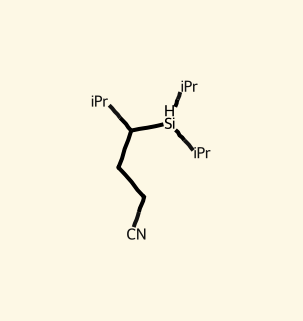 CC(C)[C](CCC#N)[SiH](C(C)C)C(C)C